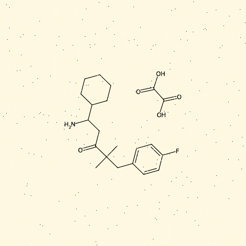 CC(C)(Cc1ccc(F)cc1)C(=O)CC(N)C1CCCCC1.O=C(O)C(=O)O